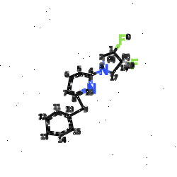 F[C@@H]1CN(c2cccc(Cc3ccccc3)n2)C[C@H]1F